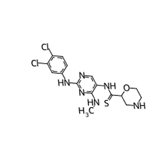 CNc1nc(Nc2ccc(Cl)c(Cl)c2)ncc1NC(=S)C1CNCCO1